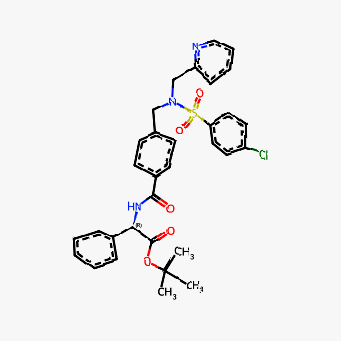 CC(C)(C)OC(=O)[C@H](NC(=O)c1ccc(CN(Cc2ccccn2)S(=O)(=O)c2ccc(Cl)cc2)cc1)c1ccccc1